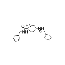 O=C(NCc1ccccc1)[C@@H]1CC[C@@H](NOCc2ccccc2)CN1